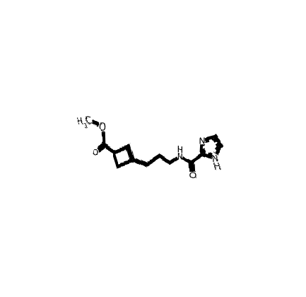 COC(=O)C1CC(CCCNC(=O)c2ncc[nH]2)C1